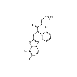 CCOC(=O)CCC(=O)N(Cc1nc2ccc(F)c(F)c2s1)c1ccccc1Cl